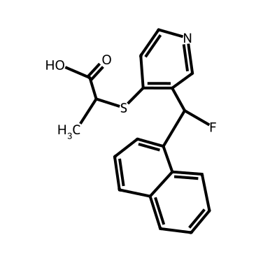 CC(Sc1ccncc1C(F)c1cccc2ccccc12)C(=O)O